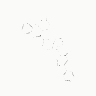 O=C([C@@H]1CCNC[C@H]1c1ccccc1)N1CCC(O)(Cn2cnc(-c3ccccc3)cc2=O)C2(CCCC2)C1